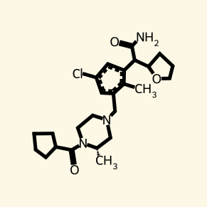 Cc1c(CN2CCN(C(=O)C3CCCC3)[C@@H](C)C2)cc(Cl)cc1C(C(N)=O)C1CCCO1